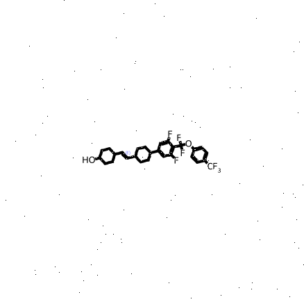 OC1CCC(/C=C/C2CCC(c3cc(F)c(C(F)(F)Oc4ccc(C(F)(F)F)cc4)c(F)c3)CC2)CC1